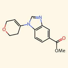 COC(=O)c1ccc2c(c1)ncn2C1=CCOCC1